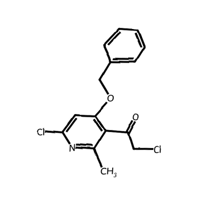 Cc1nc(Cl)cc(OCc2ccccc2)c1C(=O)CCl